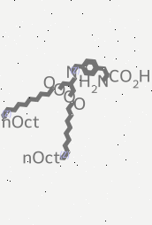 CCCCCCCC/C=C\CCCCCCCC(=O)OCC(C/N=C\c1ccc(CC(N)C(=O)O)cc1)COC(=O)CCCCCCC/C=C\CCCCCCCC